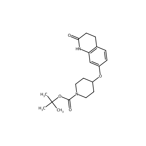 CC(C)(C)OC(=O)N1CCC(Oc2ccc3c(c2)NC(=O)CC3)CC1